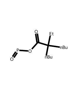 CCCCC(CC)(CCCC)C(=O)OP=O